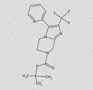 CC(C)(C)OC(=O)N1CCn2c(nc(C(F)(F)F)c2-c2ccccn2)C1